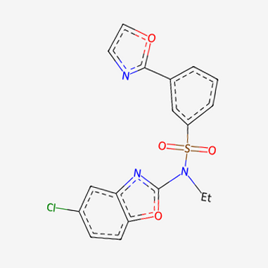 CCN(c1nc2cc(Cl)ccc2o1)S(=O)(=O)c1cccc(-c2ncco2)c1